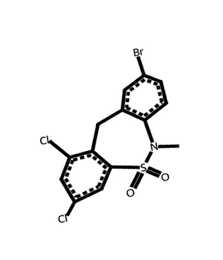 CN1c2ccc(Br)cc2Cc2c(Cl)cc(Cl)cc2S1(=O)=O